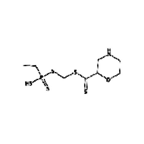 CCP(=S)(S)SCSC(=S)C1CNCCO1